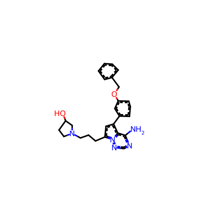 Nc1ncnn2c(CCCN3CCC(O)C3)cc(-c3cccc(OCc4ccccc4)c3)c12